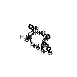 CCC(Cc1ccc(Cl)cc1)CN1C(=O)NC(Cc2ccccc2)C(=O)NCC(=O)N[C@@H](Cc2c[nH]c3ccccc23)C(=O)NC(C(N)=O)CCCCNC(=O)CC(NC(=O)CNC(C)=O)C1=O